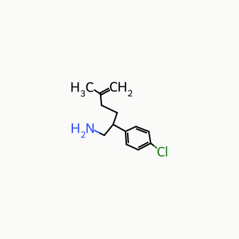 C=C(C)CCC(CN)c1ccc(Cl)cc1